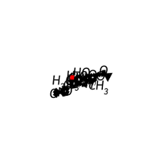 C[C@@H]1CC(COC(=O)C2CC2)OC2[C@H]1[C@@]1(C)CC[C@@]34C[C@@]35CC[C@H](O[C@H]3CN(C6COC6)CCO3)C(C)(C)[C@@H]5CCC4[C@]1(C)[C@H]2O